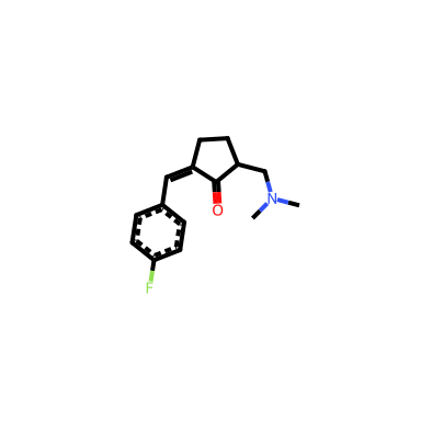 CN(C)CC1CCC(=Cc2ccc(F)cc2)C1=O